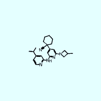 CC1CN(c2cc(C3(C#N)CCCCC3)cc(Nc3cc(C(C)C)ccn3)n2)C1